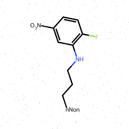 CCCCCCCCCCCCNc1cc([N+](=O)[O-])ccc1F